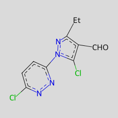 CCc1nn(-c2ccc(Cl)nn2)c(Cl)c1C=O